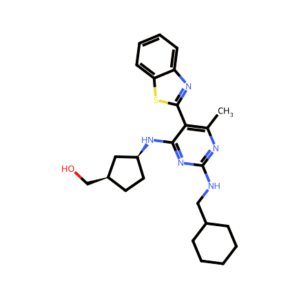 Cc1nc(NCC2CCCCC2)nc(N[C@H]2CC[C@@H](CO)C2)c1-c1nc2ccccc2s1